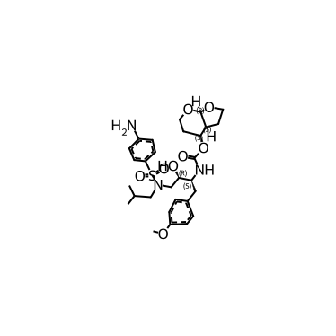 COc1ccc(C[C@H](NC(=O)O[C@H]2CCO[C@H]3OCC[C@H]32)[C@H](O)CN(CC(C)C)S(=O)(=O)c2ccc(N)cc2)cc1